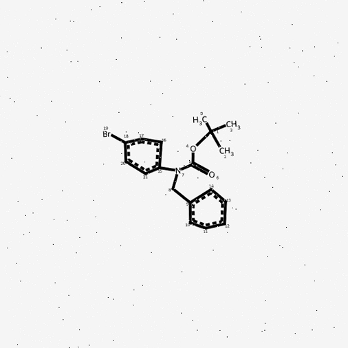 CC(C)(C)OC(=O)N(Cc1ccccc1)c1ccc(Br)cc1